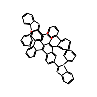 c1ccc(-c2ccccc2-c2c3ccc(-c4nc5ccccc5n4-c4ccccc4)cc3c(-c3ccccc3-c3ccccc3)c3ccc(-c4nc5ccccc5n4-c4ccccc4)cc23)cc1